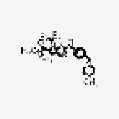 CCC(CC)n1c(C(=O)N(C)C)cc2cnc(Nc3ccc(CN4CCN(C)CC4)cc3)nc21